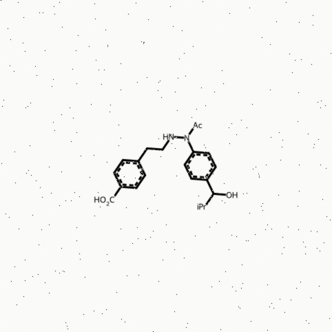 CC(=O)N(NCCc1ccc(C(=O)O)cc1)c1ccc(C(O)C(C)C)cc1